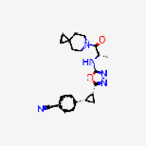 C[C@H](Nc1nnc([C@@H]2C[C@@H]2c2ccc(C#N)cc2)o1)C(=O)N1CCC2(CC1)CC2